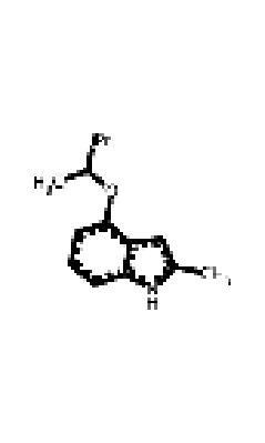 Cc1cc2c(OC(C)C(C)C)cccc2[nH]1